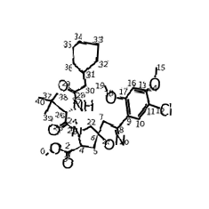 COC(=O)[C@@H]1C[C@]2(CC(c3cc(Cl)c(OC)cc3OC)=NO2)CN1C(=O)[C@@H](NC(=O)CC1CCCCC1)C(C)(C)C